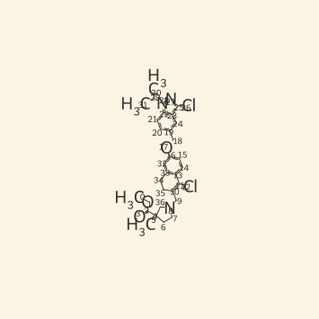 COC(=O)C1(C)CCN(CC2=C(Cl)c3ccc(OCc4ccc5c(c4)c(Cl)nn5C(C)C)cc3CC2)C1